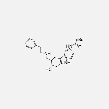 CCCCC(=O)Nc1ccc2[nH]c3c(c2c1)CC(CNCCc1ccccc1)CC3.Cl